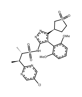 COc1cccc(OC)c1-n1c(NS(=O)(=O)[C@@H](C)[C@H](C)c2ncc(Cl)cn2)nnc1[C@@H]1CCS(=O)(=O)C1